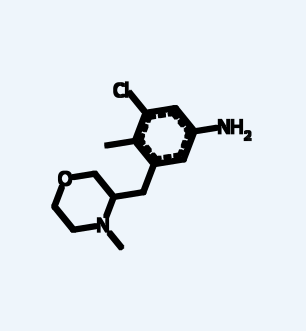 Cc1c(Cl)cc(N)cc1CC1COCCN1C